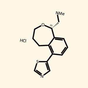 CNC[C@H]1OCCCc2c(-c3cncs3)cccc21.Cl